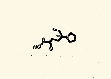 CC[C@H](CCC(=O)NO)N1CCCC1